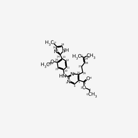 CCOC(=O)c1cnc(Nc2ccc(-c3nc(C)c[nH]3)c(OC)c2)nc1CCC=C(C)C